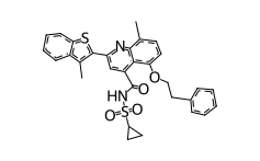 Cc1c(-c2cc(C(=O)NS(=O)(=O)C3CC3)c3c(OCCc4ccccc4)ccc(C)c3n2)sc2ccccc12